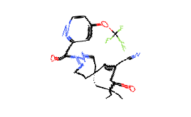 CC1(C)C[C@]2(C=C(C#N)C1=O)CCN(C(=O)c1cc(OC(F)(F)F)ccn1)C2